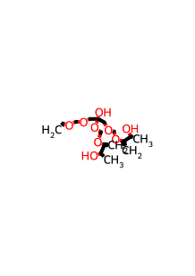 C=COCOCC(O)(COCOC(=C)C(C)O)OCOC(=C)C(C)O